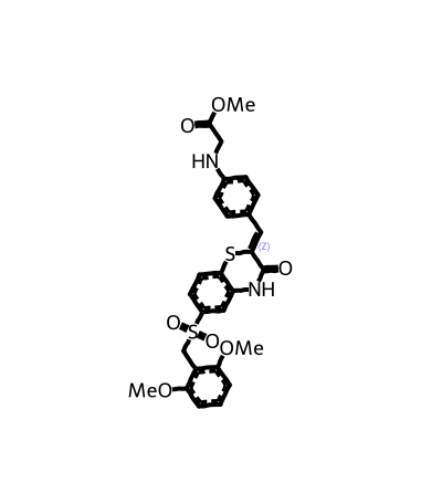 COC(=O)CNc1ccc(/C=C2\Sc3ccc(S(=O)(=O)Cc4c(OC)cccc4OC)cc3NC2=O)cc1